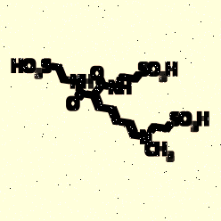 CN(C=CC=CC=C(C(=O)NCCS(=O)(=O)O)C(=O)NCCS(=O)(=O)O)CCS(=O)(=O)O